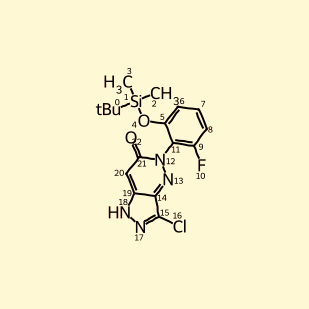 CC(C)(C)[Si](C)(C)Oc1cccc(F)c1-n1nc2c(Cl)n[nH]c2cc1=O